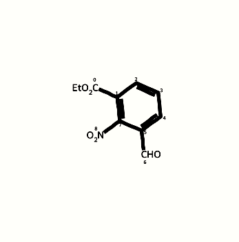 CCOC(=O)c1cccc(C=O)c1[N+](=O)[O-]